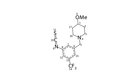 COC1CCN(Cc2cc(N=C=S)cc(C(F)(F)F)c2)CC1